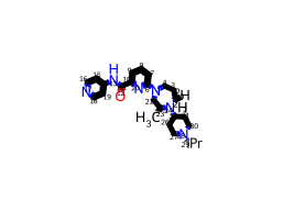 [2H]C1([2H])CCN(c2cccc(C(=O)Nc3ccncc3)n2)CC(C)N1C1CCN(C(C)C)CC1